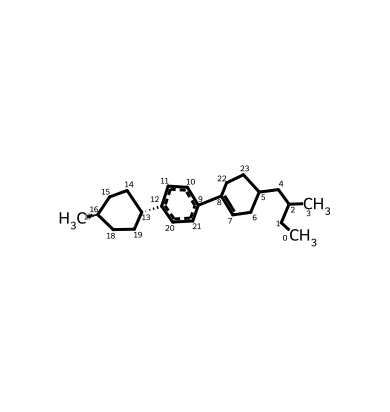 CCC(C)CC1CC=C(c2ccc([C@H]3CC[C@H](C)CC3)cc2)CC1